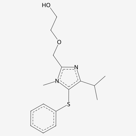 CC(C)c1nc(COCCO)n(C)c1Sc1ccccc1